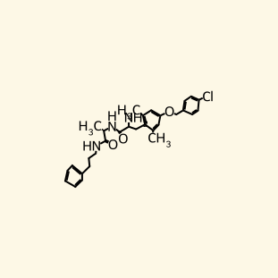 Cc1cc(OCc2ccc(Cl)cc2)cc(C)c1CC(N)C(=O)N[C@H](C)C(=O)NCCCc1ccccc1